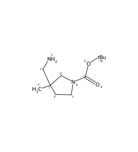 CC1(CN)CCN(C(=O)OC(C)(C)C)C1